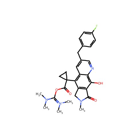 CN(C)C(OC(=O)C1(c2c3c(c(O)c4ncc(Cc5ccc(F)cc5)cc24)C(=O)N(C)C3)CC1)=[N+](C)C